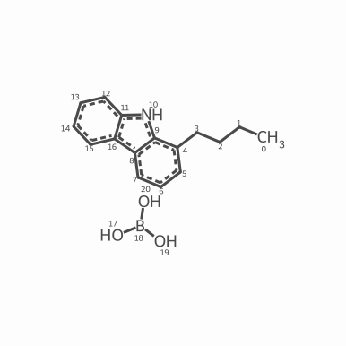 CCCCc1cccc2c1[nH]c1ccccc12.OB(O)O